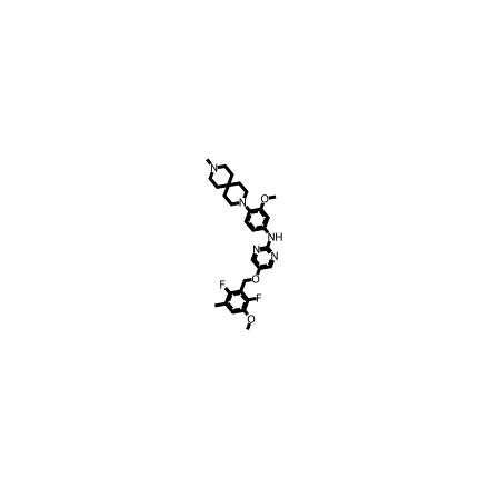 COc1cc(Nc2ncc(OCc3c(F)c(C)cc(OC)c3F)cn2)ccc1N1CCC2(CCN(C)CC2)CC1